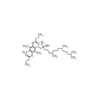 CCCC(=O)Oc1c(C)c(C)c(OC(=O)CCC)c(CC[C@](C)(O)CCC[C@H](C)CCC[C@H](C)CCCC(C)C)c1C